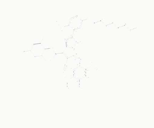 [C-]#[N+]C1=C(C(=O)OC2C(C)CC(C)CC2C)c2nc(-c3cc(OCCCCCCCC)ccc3OC)nn2/C1=N/c1cc(OC)c(CO)cc1OC